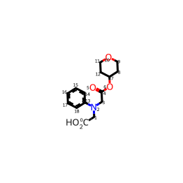 O=C(O)CN(CC(=O)OC1CCOCC1)c1ccccc1